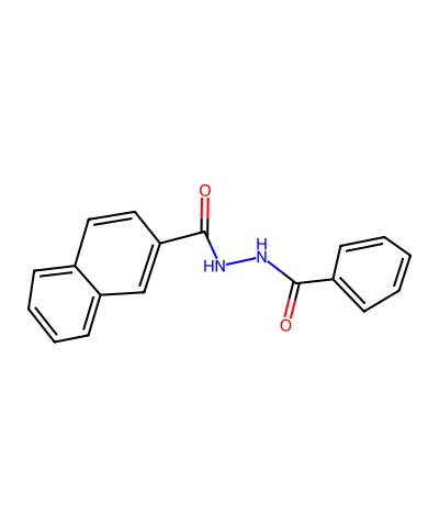 O=C(NNC(=O)c1ccc2ccccc2c1)c1ccccc1